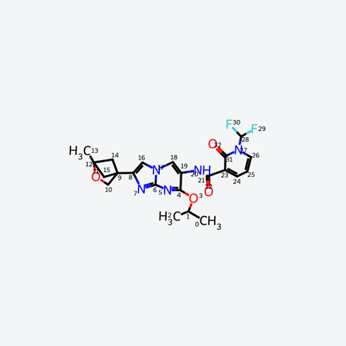 CC(C)Oc1nc2nc(C34COC(C)(C3)C4)cn2cc1NC(=O)c1cccn(C(F)F)c1=O